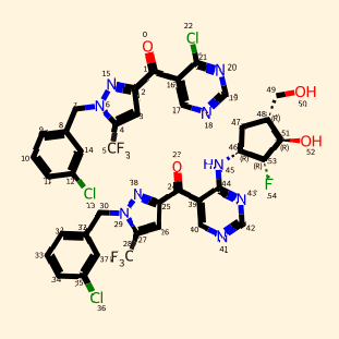 O=C(c1cc(C(F)(F)F)n(Cc2cccc(Cl)c2)n1)c1cncnc1Cl.O=C(c1cc(C(F)(F)F)n(Cc2cccc(Cl)c2)n1)c1cncnc1N[C@@H]1C[C@H](CO)[C@@H](O)[C@@H]1F